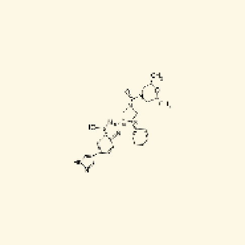 CC1CN(C(=O)N2C[C@@H](c3ccccc3)[C@H](c3nc(O)c4cc(-c5cn[nH]c5)ccc4n3)C2)CC(C)O1